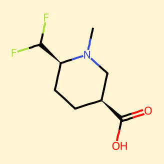 CN1C[C@@H](C(=O)O)CC[C@H]1C(F)F